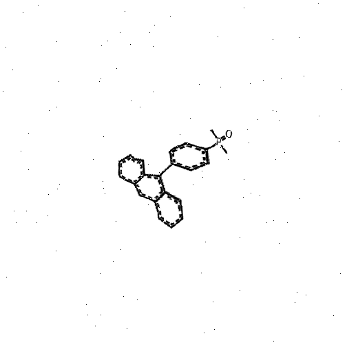 CP(C)(=O)c1ccc(-c2c3ccccc3cc3ccccc23)cc1